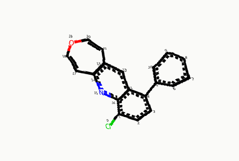 Clc1ccc(-c2ccccc2)c2cc3c(nc12)C=COC=C3